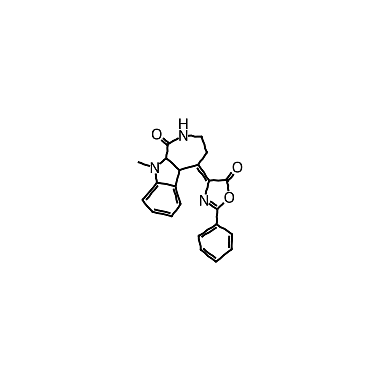 CN1c2ccccc2C2/C(=C3\N=C(c4ccccc4)OC3=O)CCNC(=O)C21